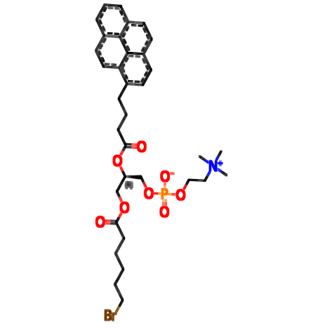 C[N+](C)(C)CCOP(=O)([O-])OC[C@@H](COC(=O)CCCCCBr)OC(=O)CCCc1ccc2ccc3cccc4ccc1c2c34